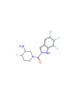 NC1CN(C(=O)c2cc3cc(Cl)c(F)c(F)c3[nH]2)CCC1F